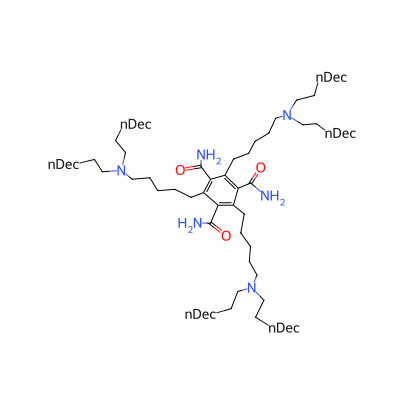 CCCCCCCCCCCCN(CCCCCCCCCCCC)CCCCCc1c(C(N)=O)c(CCCCCN(CCCCCCCCCCCC)CCCCCCCCCCCC)c(C(N)=O)c(CCCCCN(CCCCCCCCCCCC)CCCCCCCCCCCC)c1C(N)=O